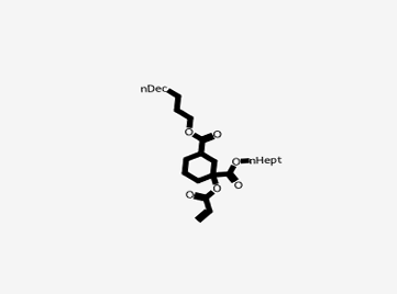 C=CC(=O)OC1(C(=O)OCCCCCCC)CCCC(C(=O)OCCCCCCCCCCCCC)C1